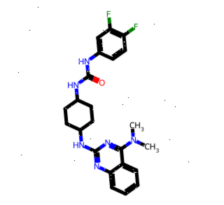 CN(C)c1nc(NC2CCC(NC(=O)Nc3ccc(F)c(F)c3)CC2)nc2ccccc12